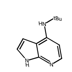 CC(C)(C)Nc1ccnc2[nH]ccc12